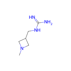 CN1CC(CNC(=N)N)C1